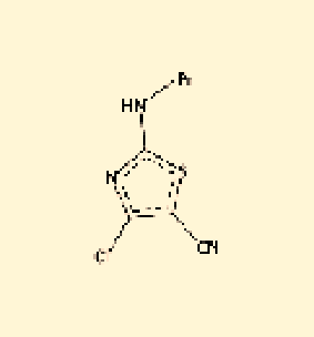 CC(C)Nc1nc(Cl)c(C#N)s1